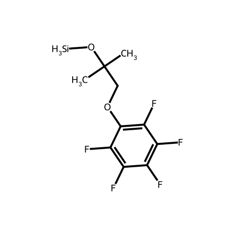 CC(C)(COc1c(F)c(F)c(F)c(F)c1F)O[SiH3]